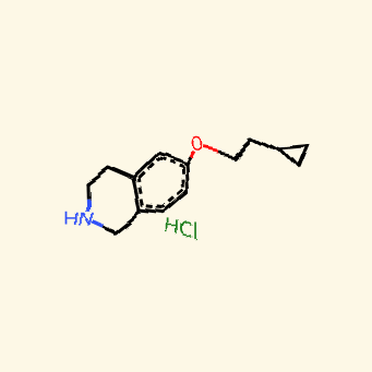 Cl.c1cc2c(cc1OCCC1CC1)CCNC2